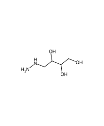 NNCC(O)C(O)CO